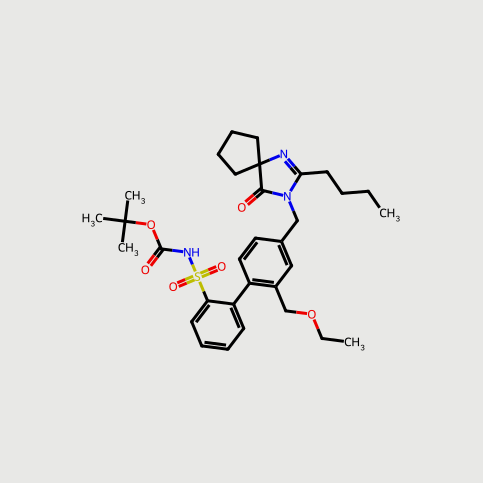 CCCCC1=NC2(CCCC2)C(=O)N1Cc1ccc(-c2ccccc2S(=O)(=O)NC(=O)OC(C)(C)C)c(COCC)c1